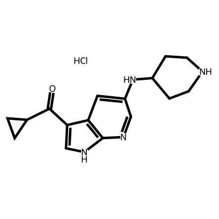 Cl.O=C(c1c[nH]c2ncc(NC3CCNCC3)cc12)C1CC1